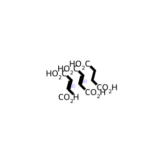 O=C(O)/C=C/C(=O)O.O=C(O)/C=C/C(=O)O.O=C(O)CCC(=O)O